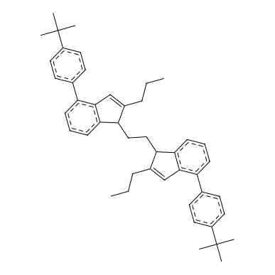 CCCC1=Cc2c(-c3ccc(C(C)(C)C)cc3)cccc2C1CCC1C(CCC)=Cc2c(-c3ccc(C(C)(C)C)cc3)cccc21